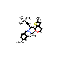 COc1ccc(CN2CC[C@@]3(CC2C#C[Si](C)(C)C)OCCc2cc(C(F)(F)F)sc23)c(OC)c1